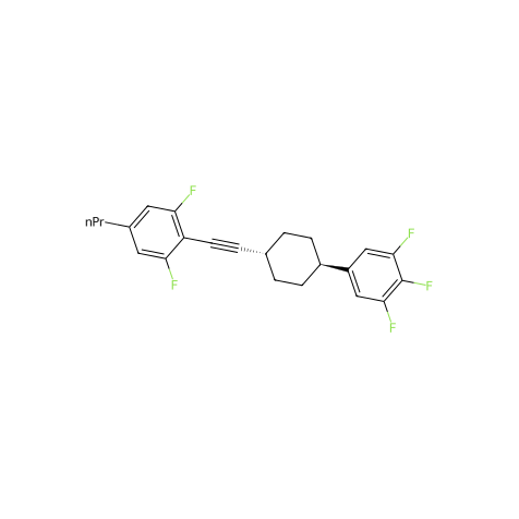 CCCc1cc(F)c(C#C[C@H]2CC[C@H](c3cc(F)c(F)c(F)c3)CC2)c(F)c1